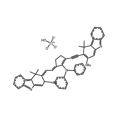 CCCCC1=C(C#CC2=C(N(c3ccccc3)c3ccccc3)C(=CC=C3C(CCCC)C=C4N=c5ccccc5=C4C3(C)C)CC2)C(C)(C)C2=c3ccccc3=NC2=C1.[O-][Cl+3]([O-])([O-])O